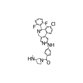 CNC1CCN(C(=O)c2ccc(Nc3cc4c(cn3)CN=C(c3c(F)cccc3F)c3cc(Cl)ccc3-4)cc2)C1